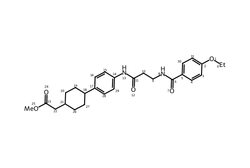 CCOc1ccc(C(=O)NCCC(=O)Nc2ccc(C3CCC(CC(=O)OC)CC3)cc2)cc1